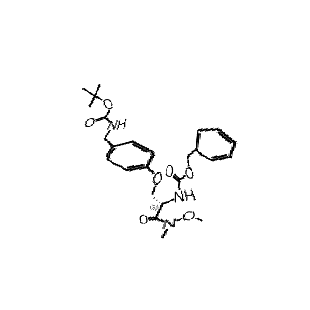 CON(C)C(=O)[C@H](COc1ccc(CNC(=O)OC(C)(C)C)cc1)NC(=O)OCc1ccccc1